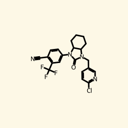 N#Cc1ccc(N2C(=O)N(Cc3ccc(Cl)nc3)C3CCCCC32)cc1C(F)(F)F